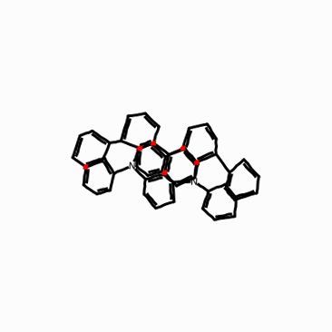 c1ccc(-c2cccc(-c3ccccc3)c2N(c2ccccc2)c2cccc(N(c3ccccc3)c3c(-c4ccccc4)cccc3-c3ccccc3)c2)cc1